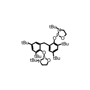 CC(C)(C)c1cc(Cc2cc(C(C)(C)C)cc(C(C)(C)C)c2OP2OCCN2C(C)(C)C)c(OP2OCCN2C(C)(C)C)c(C(C)(C)C)c1